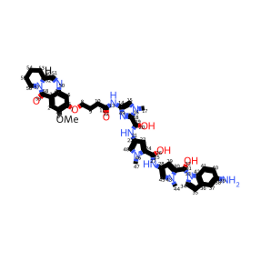 COc1cc2c(cc1OCCCC(=O)Nc1cn(C)c(C(O)Nc3cc(C(O)Nc4cc(C(O)n5ccc6cc(N)ccc65)n(C)c4)n(C)c3)n1)N=C[C@@H]1CCCCN1C2=O